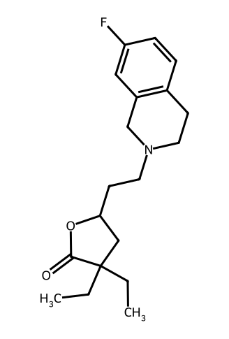 CCC1(CC)CC(CCN2CCc3ccc(F)cc3C2)OC1=O